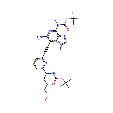 COCCC[C@H](NC(=O)OC(C)(C)C)c1cccc(C#Cc2c(N)nc(N(C)C(=O)OC(C)(C)C)c3ncn(C)c23)n1